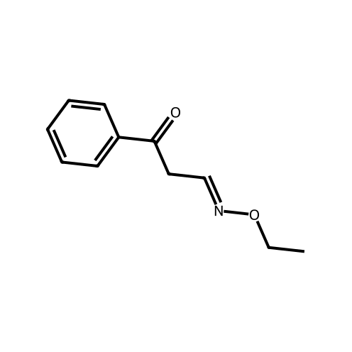 CCON=CCC(=O)c1ccccc1